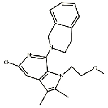 COCCn1c(C)c(C)c2cc(Cl)nc(N3CCc4ccccc4C3)c21